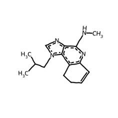 CNc1nc2c(c3c1ncn3CC(C)C)CCC=C2